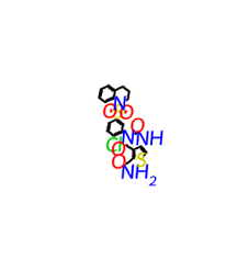 NC(=O)c1scc2[nH]c(=O)n(-c3cc(S(=O)(=O)N4CCCc5ccccc54)ccc3Cl)c(=O)c12